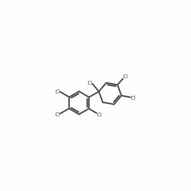 ClC1=CCC(Cl)(c2cc(Cl)c(Cl)cc2Cl)C=C1Cl